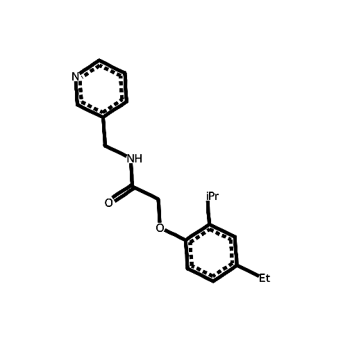 CCc1ccc(OCC(=O)NCc2cccnc2)c(C(C)C)c1